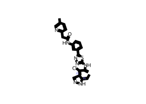 C=C(Nc1nnc(-c2cccc(NC(=O)Cc3ccc(C)cn3)c2)s1)/C(Cl)=c1/cn[nH]/c1=C/C